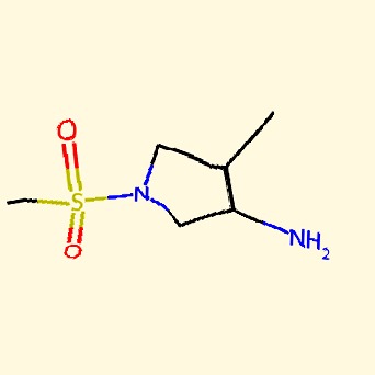 CC1CN(S(C)(=O)=O)CC1N